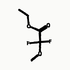 CCOC(=O)C(F)(F)OC